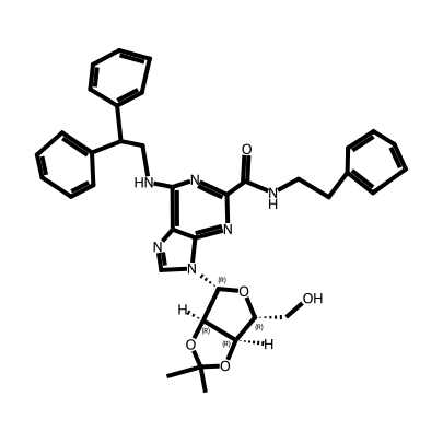 CC1(C)O[C@@H]2[C@H](O1)[C@@H](CO)O[C@H]2n1cnc2c(NCC(c3ccccc3)c3ccccc3)nc(C(=O)NCCc3ccccc3)nc21